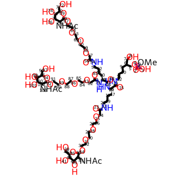 COP(=O)(O)OCC(CO)CCCCNC(=O)[C@H](CCCCNC(=O)COCCOCCOCCOC1OC(CO)C(O)C(O)C1NC(C)=O)NC(=O)[C@H](CCCCNC(=O)COCCOCCOCCOC1OC(CO)C(O)C(O)C1NC(C)=O)NC(=O)COCCOCCOCCOC1OC(CO)C(O)C(O)C1NC(C)=O